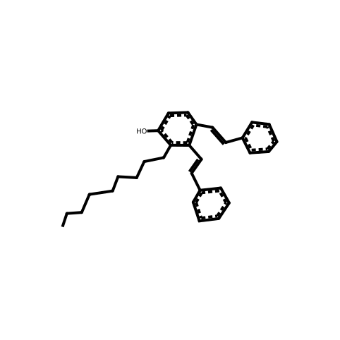 CCCCCCCCCc1c(O)ccc(/C=C/c2ccccc2)c1/C=C/c1ccccc1